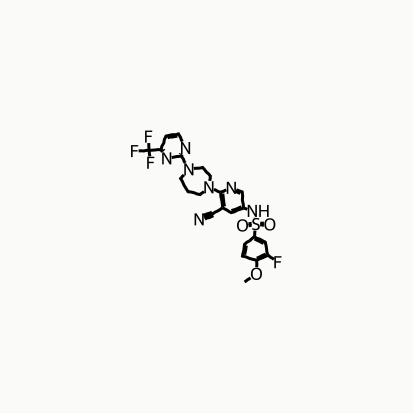 COc1ccc(S(=O)(=O)Nc2cnc(N3CCCN(c4nccc(C(F)(F)F)n4)CC3)c(C#N)c2)cc1F